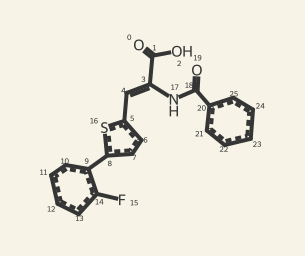 O=C(O)/C(=C/c1ccc(-c2ccccc2F)s1)NC(=O)c1ccccc1